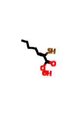 CCCCC=C(S)C(=O)OO